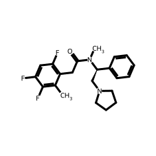 Cc1c(F)c(F)cc(F)c1CC(=O)N(C)[C@H](CN1CCCC1)c1ccccc1